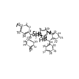 Fc1ccc(C([SiH2]Cn2ccnc2BC(c2ccccc2)c2ccccc2)c2ccc(F)cc2)cc1